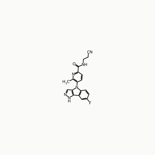 Cc1nc(C(=O)NCCC#N)ccc1-n1c2ccc(F)cc2c2[nH]ncc21